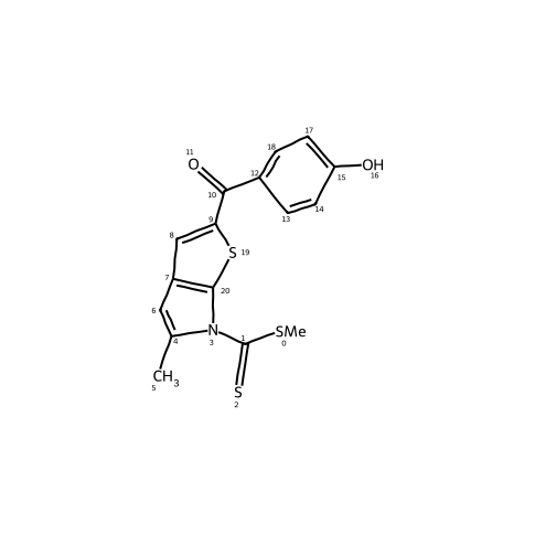 CSC(=S)n1c(C)cc2cc(C(=O)c3ccc(O)cc3)sc21